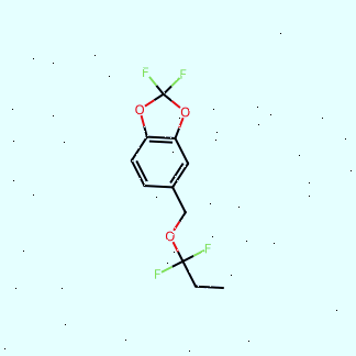 CCC(F)(F)OCc1ccc2c(c1)OC(F)(F)O2